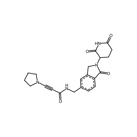 O=C(C#CN1CCCC1)NCc1ccc2c(c1)CN(C1CCC(=O)NC1=O)C2=O